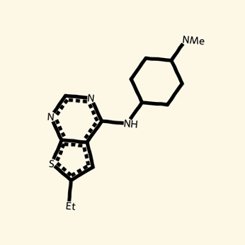 CCc1cc2c(NC3CCC(NC)CC3)ncnc2s1